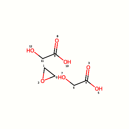 C1CO1.O=C(O)CO.O=C(O)CO